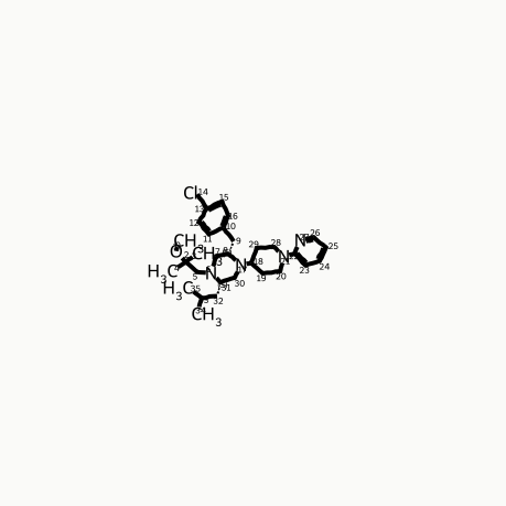 COC(C)(C)CN1C[C@H](Cc2ccc(Cl)cc2)N(C2CCN(c3ccccn3)CC2)C[C@@H]1CC(C)C